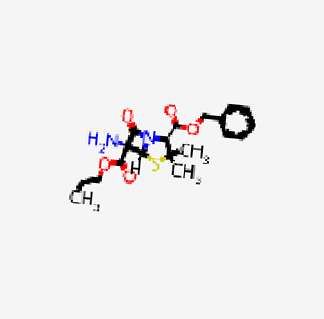 CCCOC(=O)[C@]1(N)C(=O)N2[C@@H](C(=O)OCc3ccccc3)C(C)(C)S[C@@H]21